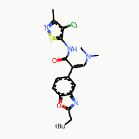 Cc1nsc(NC(=O)C(=CN(C)C)c2ccc3oc(CC(C)(C)C)nc3c2)c1Cl